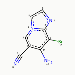 N#Cc1cn2ccnc2c(Br)c1N